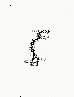 O=C(O)CC[C@H](NC(=O)N[C@@H](CCCCNC(=O)C1CCC(CNC(=O)C2CCC(CNC(=O)CN3CCN(CC(=O)O)CCN(CC(=O)O)CCN(CC(=O)O)CC3)CC2)CC1)C(=O)O)C(=O)O